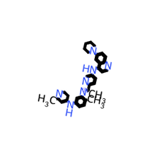 CC1=NCCC(Nc2ccc(C)c(/N=C(\C)c3ccc(Nc4ccnc5ccc(N6CCCCC6)cc45)cn3)c2)=C1